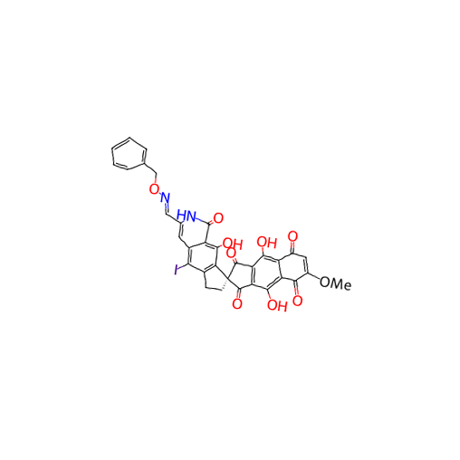 COC1=CC(=O)c2c(O)c3c(c(O)c2C1=O)C(=O)[C@]1(CCc2c1c(O)c1c(=O)[nH]c(C=NOCc4ccccc4)cc1c2I)C3=O